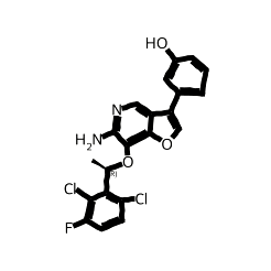 C[C@@H](Oc1c(N)ncc2c(-c3cccc(O)c3)coc12)c1c(Cl)ccc(F)c1Cl